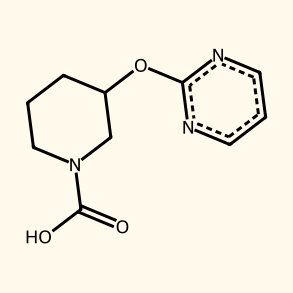 O=C(O)N1CCCC(Oc2ncccn2)C1